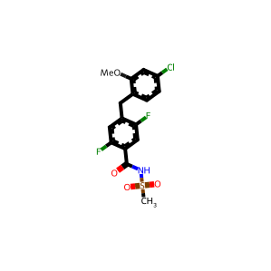 COc1cc(Cl)ccc1Cc1cc(F)c(C(=O)NS(C)(=O)=O)cc1F